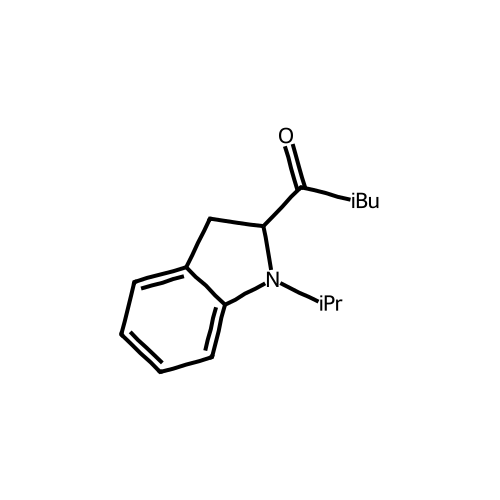 CCC(C)C(=O)C1Cc2ccccc2N1C(C)C